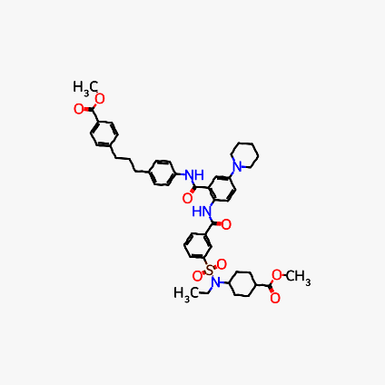 CCN(C1CCC(C(=O)OC)CC1)S(=O)(=O)c1cccc(C(=O)Nc2ccc(N3CCCCC3)cc2C(=O)Nc2ccc(CCCc3ccc(C(=O)OC)cc3)cc2)c1